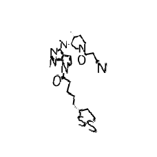 C[C@@H]1CCN(C(=O)CC#N)C[C@@H]1N(C)c1ncnc2c1ccn2C(=O)CCCC[C@@H]1CCSS1